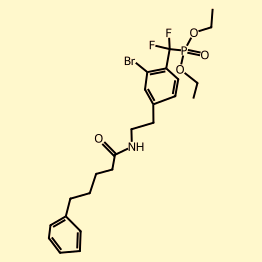 CCOP(=O)(OCC)C(F)(F)c1ccc(CCNC(=O)CCCCc2ccccc2)cc1Br